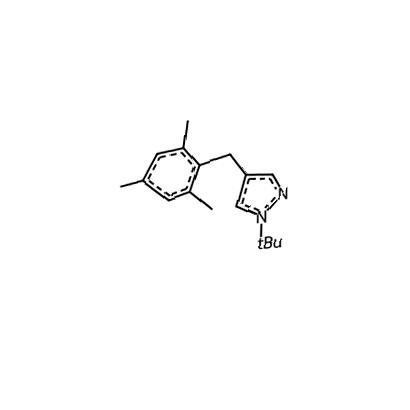 Cc1cc(C)c(Cc2cnn(C(C)(C)C)c2)c(C)c1